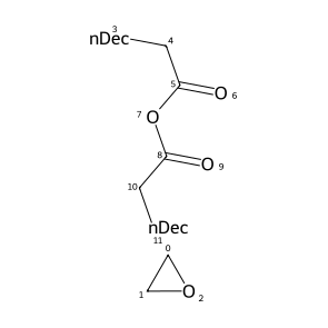 C1CO1.CCCCCCCCCCCC(=O)OC(=O)CCCCCCCCCCC